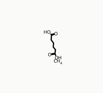 C.O=C(O)CCCCC(=O)O